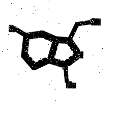 CCC(C)n1nc(CO)c2cc(Br)ccc21